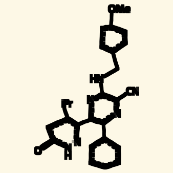 COc1ccc(CNc2nc(-c3n[nH]c(=O)cc3C(C)C)c(-c3ccccc3)nc2C#N)cc1